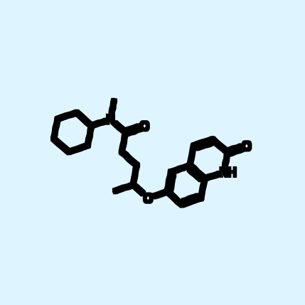 CC(CCC(=O)N(C)C1CCCCC1)Oc1ccc2[nH]c(=O)ccc2c1